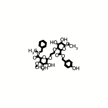 CO[C@@H]1OC(C(=O)OCc2ccc(O)cc2)[C@@H](OCCO[C@@H]2OC(C(=O)N(C)Cc3ccccc3)[C@@H](OC)[C@H](O)[C@@H]2O)[C@H](O)[C@@H]1O